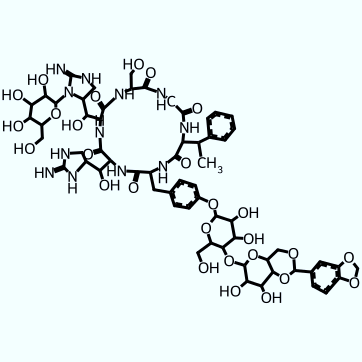 CC(c1ccccc1)C1NC(=O)CNC(=O)C(CO)NC(=O)C(C(O)C2CNC(=N)N2C2OC(CO)C(O)C(O)C2O)NC(=O)C(C(O)C2CNC(=N)N2)NC(=O)C(Cc2ccc(OC3OC(CO)C(OC4OC5COC(c6ccc7c(c6)OCO7)OC5C(O)C4O)C(O)C3O)cc2)NC1=O